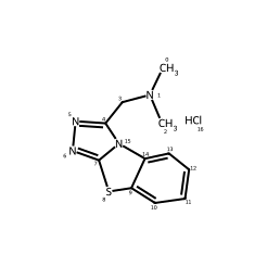 CN(C)Cc1nnc2sc3ccccc3n12.Cl